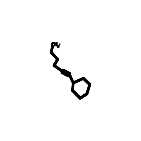 [CH2]CCCC#CC1CCCCC1